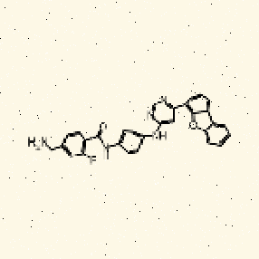 NCc1ccc(C(=O)Nc2ccc(Nc3cc(-c4cccc5c4oc4ccccc45)ncn3)cc2)c(F)c1